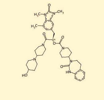 Cc1cc(C[C@@H](OC(=O)N2CCC(N3CCc4ccccc4NC3=O)CC2)C(=O)N2CCC(N3CCC(O)CC3)CC2)cc2c1n(C)c(=O)n2C